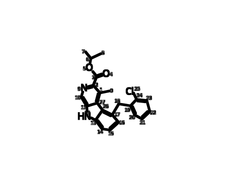 Cc1c(C(=O)OC(C)C)ncc2[nH]c3cccc(Cc4ccccc4Cl)c3c12